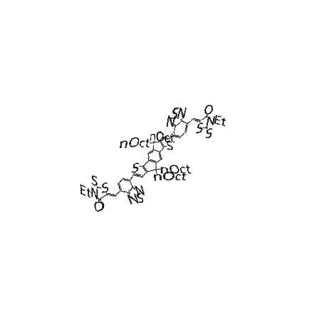 CCCCCCCCC1(CCCCCCCC)c2cc3c(cc2-c2sc(-c4ccc(/C=C5\SC(=S)N(CC)C5=O)c5nsnc45)cc21)C(CCCCCCCC)(CCCCCCCC)c1cc(-c2ccc(/C=C4\SC(=S)N(CC)C4=O)c4nsnc24)sc1-3